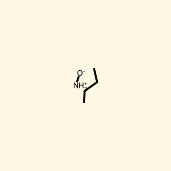 CCCC.[NH3+][O-]